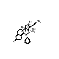 CC#C[C@]1(O)[C@H](CC)C[C@H]2[C@@H]3CCC4=CC(=O)CCC4=C3[C@@H](c3ccccc3)C[C@@]21C